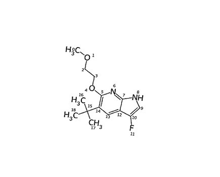 COCCOc1nc2[nH]cc(F)c2cc1C(C)(C)C